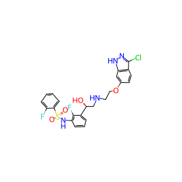 O=S(=O)(Nc1cccc([C@@H](O)CNCCOc2ccc3c(Cl)n[nH]c3c2)c1F)c1ccccc1F